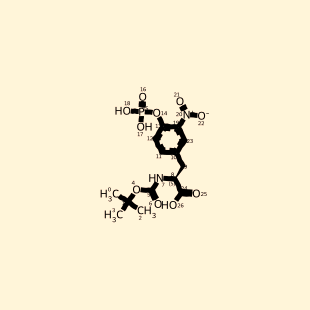 CC(C)(C)OC(=O)N[C@@H](Cc1ccc(OP(=O)(O)O)c([N+](=O)[O-])c1)C(=O)O